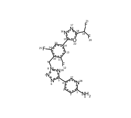 Nc1ccc(-c2nnn(Cc3c(F)cc(-c4nnc(C(F)F)o4)cc3F)n2)cn1